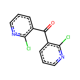 O=C(c1cccnc1Cl)c1cccnc1Cl